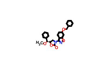 COC(c1ccccc1)[C@@H]1CN(c2noc3cc(OCc4ccccc4)ccc23)C(=O)O1